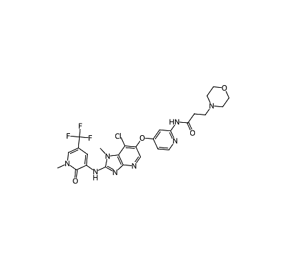 Cn1cc(C(F)(F)F)cc(Nc2nc3ncc(Oc4ccnc(NC(=O)CCN5CCOCC5)c4)c(Cl)c3n2C)c1=O